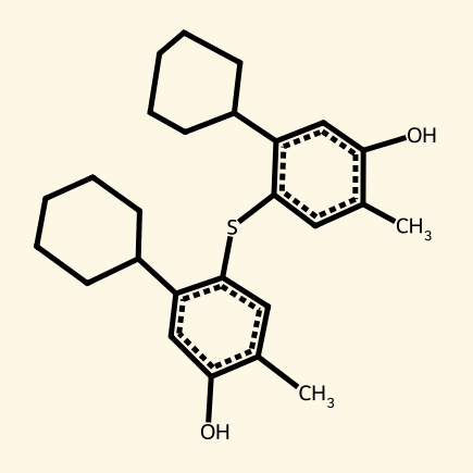 Cc1cc(Sc2cc(C)c(O)cc2C2CCCCC2)c(C2CCCCC2)cc1O